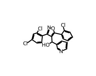 OC(c1cccnc1)c1c(-c2ccc(Cl)cc2Cl)noc1-c1ccccc1Cl